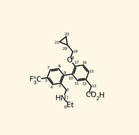 CCNCc1cc(C(F)(F)F)ccc1-c1cc(CC(=O)O)ccc1OCC1CC1